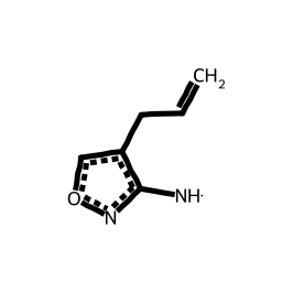 C=CCc1conc1[NH]